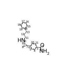 NC(=O)c1ccc(C2CC2NCCCc2ccccc2)cc1